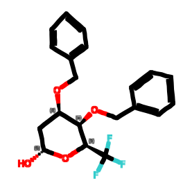 O[C@@H]1C[C@@H](OCc2ccccc2)[C@@H](OCc2ccccc2)[C@@H](C(F)(F)F)O1